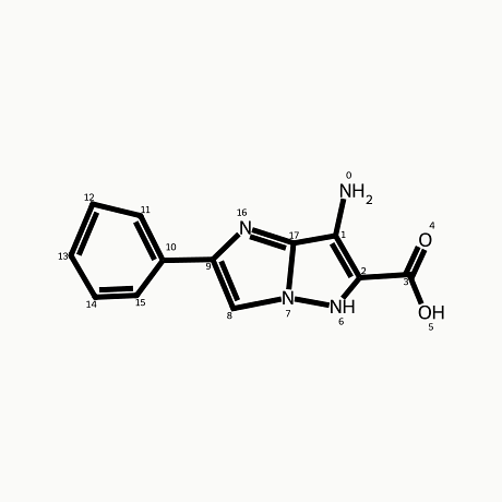 Nc1c(C(=O)O)[nH]n2cc(-c3ccccc3)nc12